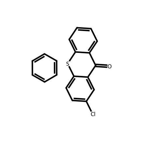 O=c1c2ccccc2sc2ccc(Cl)cc12.c1ccccc1